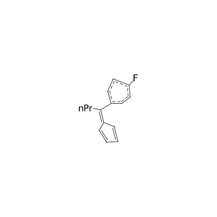 CCCC(=C1C=CC=C1)c1ccc(F)cc1